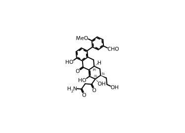 COc1ccc(C=O)cc1-c1ccc(O)c2c1C[C@H]1C[C@@H](CCO)[C@@](O)(C(=O)CC(N)=O)C(O)=C1C2=O